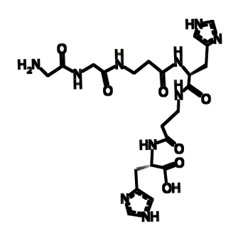 NCC(=O)NCC(=O)NCCC(=O)N[C@@H](Cc1c[nH]cn1)C(=O)NCCC(=O)N[C@@H](Cc1c[nH]cn1)C(=O)O